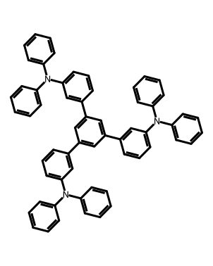 c1ccc(N(c2ccccc2)c2cccc(-c3cc(-c4cccc(N(c5ccccc5)c5ccccc5)c4)cc(-c4cccc(N(c5ccccc5)c5ccccc5)c4)c3)c2)cc1